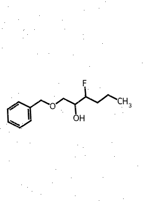 CCCC(F)C(O)COCc1ccccc1